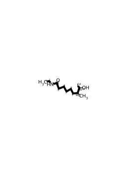 CCNC(=O)CCCCC[C@@H](C)[C@@H](O)I